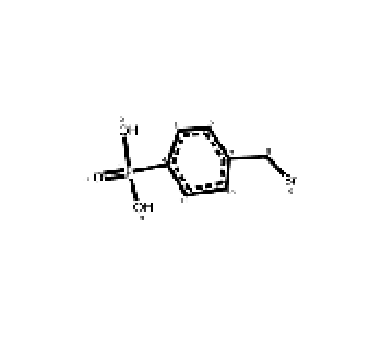 O=P(O)(O)c1ccc(CBr)cc1